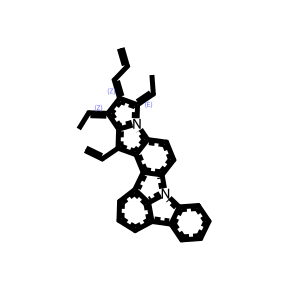 C=C/C=c1c(=C/C)/c2c(C=C)c3c4c5cccc6c7ccccc7n(c4ccc3n2c/1=C/C)c65